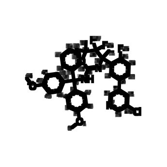 COc1ccc(C(NC2=NC(C)(c3cc(-c4cncc(Cl)c4)ccc3F)C(F)(F)C(C)(C)O2)(c2ccccc2)c2ccc(OC)cc2)cc1